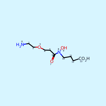 NCCOCCC(=O)N(O)CCCC(=O)O